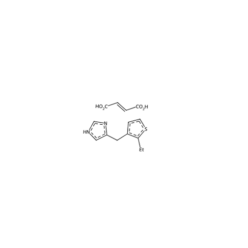 CCc1sccc1Cc1c[nH]cn1.O=C(O)/C=C/C(=O)O